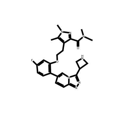 Cc1c(CCOc2cc(F)ccc2-c2ccc3nnc(C4CNC4)n3c2)c(C(=O)N(C)C)nn1C